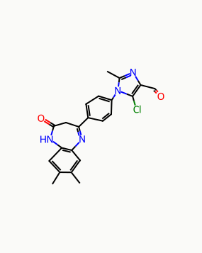 Cc1cc2c(cc1C)NC(=O)CC(c1ccc(-n3c(C)nc(C=O)c3Cl)cc1)=N2